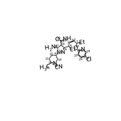 CCC(/C=C\C(CC)C1=NN(C2CCC(C)N(C#N)C2)C(N)C1C(N)=O)Oc1ccc(Cl)cn1